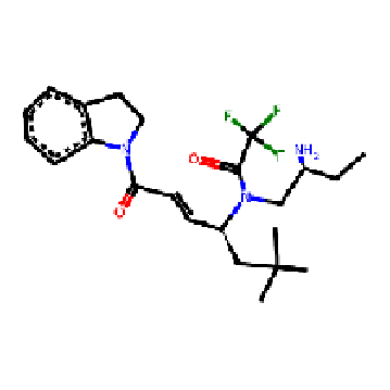 CC[C@H](N)CN(C(=O)C(F)(F)F)[C@H](/C=C/C(=O)N1CCc2ccccc21)CC(C)(C)C